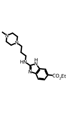 CCOC(=O)c1ccc2nc(NCCCN3CCN(C)CC3)[nH]c2c1